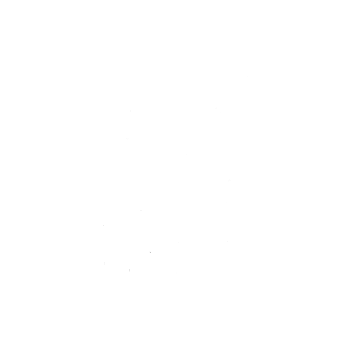 COc1ccc(C(=C(c2ccccc2)c2ccc(/C(=C(/C)Cl)C(C)(C)C)cc2)c2ccc(OC)cc2)cc1